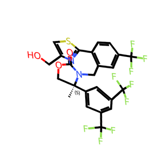 C[C@]1(c2cc(C(F)(F)F)cc(C(F)(F)F)c2)COC(=O)N1Cc1cc(C(F)(F)F)ccc1-c1nc(CO)cs1